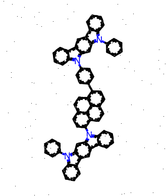 c1ccc(-n2c3ccccc3c3cc4c5ccccc5n(-c5ccc(-c6ccc7ccc8c(-n9c%10ccccc%10c%10cc%11c%12ccccc%12n(-c%12ccccc%12)c%11cc%109)ccc9ccc6c7c98)cc5)c4cc32)cc1